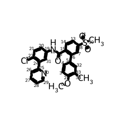 COc1ccc(-c2cc(S(C)(=O)=O)ccc2C(=O)Nc2ccc(Cl)c(-c3ccccn3)c2)cc1C